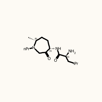 CCCN1CC(=O)[C@@H](NC(=O)[C@@H](N)CC(C)C)CC[C@H]1C